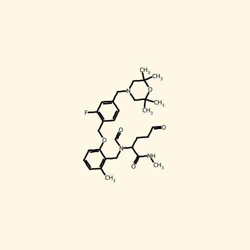 CNC(=O)C(CCC=O)N(C=O)Cc1c(C)cccc1OCc1ccc(CN2CC(C)(C)OC(C)(C)C2)cc1F